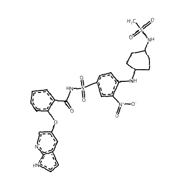 CS(=O)(=O)NC1CCC(Nc2ccc(S(=O)(=O)NC(=O)c3ccccc3Oc3cnc4[nH]ccc4c3)cc2[N+](=O)[O-])CC1